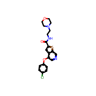 O=C(NCCN1CCOCC1)c1cc2c(Oc3ccc(Cl)cc3)cncc2s1